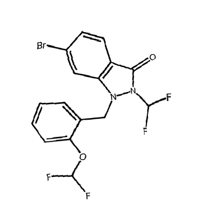 O=c1c2ccc(Br)cc2n(Cc2ccccc2OC(F)F)n1C(F)F